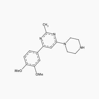 COc1ccc(-c2cc(N3CCNCC3)nc(C)n2)cc1OC